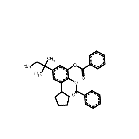 CC(C)(C)CC(C)(C)c1cc(OC(=O)c2ccccc2)c(OC(=O)c2ccccc2)c(C2CCCC2)c1